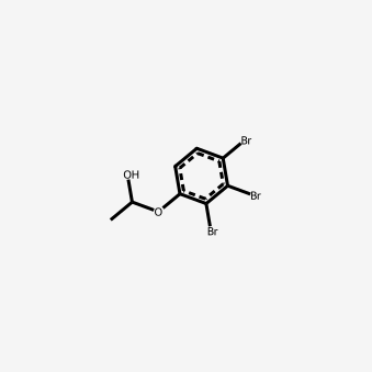 CC(O)Oc1ccc(Br)c(Br)c1Br